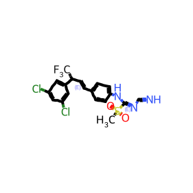 CS(=O)(=O)/C(=N/C=N)Nc1ccc(/C=C/C(c2cc(Cl)cc(Cl)c2)C(F)(F)F)cc1